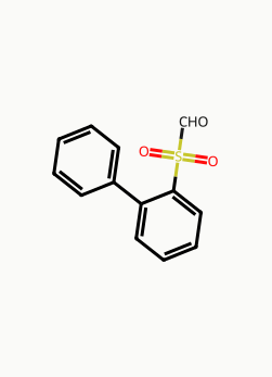 O=CS(=O)(=O)c1ccccc1-c1ccccc1